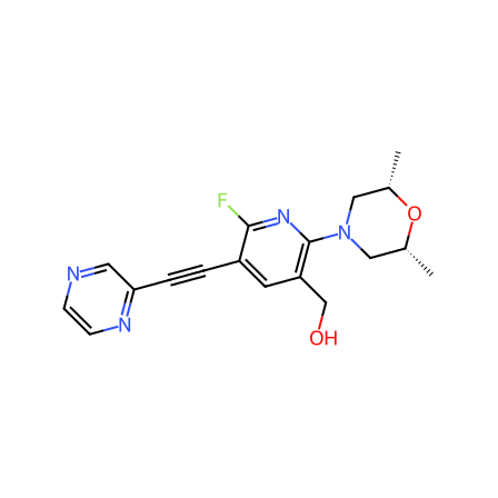 C[C@@H]1CN(c2nc(F)c(C#Cc3cnccn3)cc2CO)C[C@H](C)O1